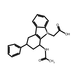 CC(=O)NC1CC(c2ccccc2)Cc2c1n(CC(=O)O)c1ccccc21